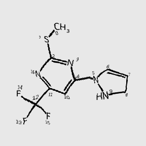 CSc1nc(N2C=CCN2)cc(C(F)(F)F)n1